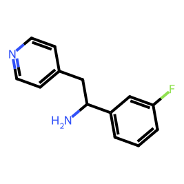 NC(Cc1ccncc1)c1cccc(F)c1